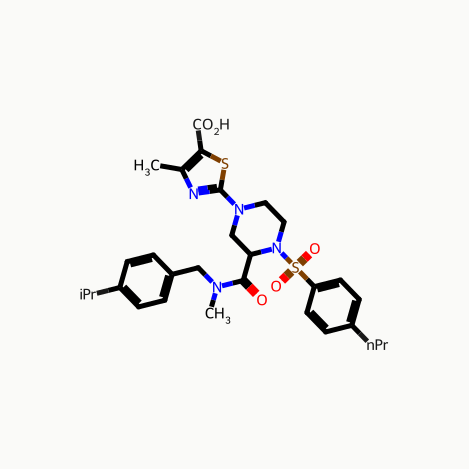 CCCc1ccc(S(=O)(=O)N2CCN(c3nc(C)c(C(=O)O)s3)CC2C(=O)N(C)Cc2ccc(C(C)C)cc2)cc1